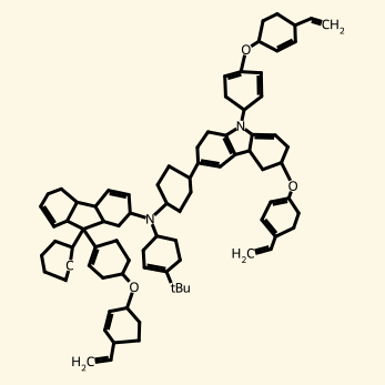 C=CC1=CC=C(OC2CC=C3C(C2)C2=C(CCC(C4CCC(N(C5C=CC6C7CCC=CC7C(C7=CCC(OC8C=CC(C=C)CC8)CC7)(C7CCCCC7)C6C5)C5CC=C(C(C)(C)C)CC5)CC4)=C2)N3C2C=CC(OC3C=CC(C=C)CC3)=CC2)CC1